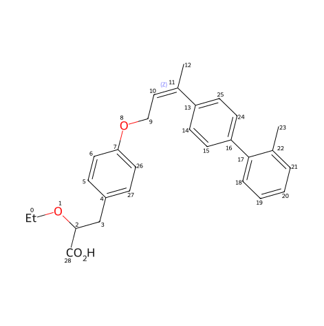 CCOC(Cc1ccc(OC/C=C(/C)c2ccc(-c3ccccc3C)cc2)cc1)C(=O)O